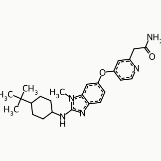 Cn1c(NC2CCC(C(C)(C)C)CC2)nc2ccc(Oc3ccnc(CC(N)=O)c3)cc21